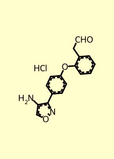 Cl.Nc1conc1-c1ccc(Oc2ccccc2CC=O)cc1